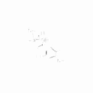 Nc1cc(O)c(C(=O)N[C@@H]2CN3CCC2CC3)cc1Cl